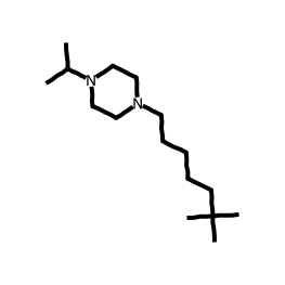 CC(C)N1CCN(CCCCCC(C)(C)C)CC1